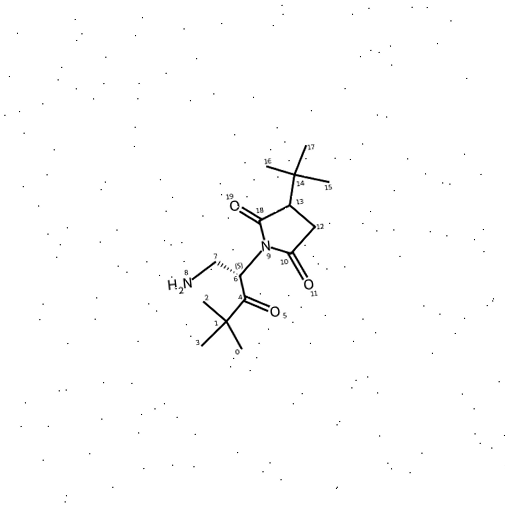 CC(C)(C)C(=O)[C@H](CN)N1C(=O)CC(C(C)(C)C)C1=O